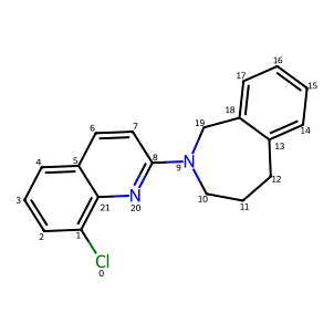 Clc1cccc2ccc(N3CCCc4ccccc4C3)nc12